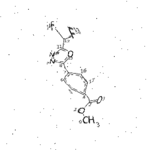 COC(=O)c1ccc(-c2nnc(C(F)F)o2)cc1